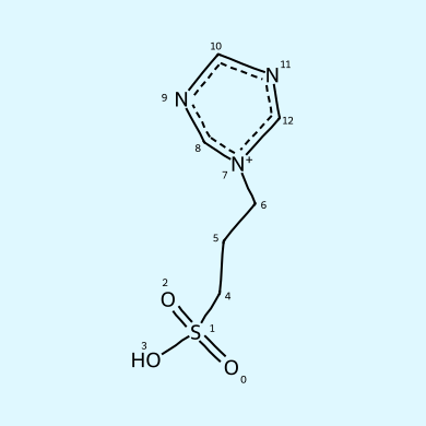 O=S(=O)(O)CCC[n+]1cncnc1